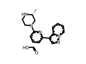 C[C@@H]1CN(c2cccc(-c3cnn4ccccc34)n2)CCN1.O=CO